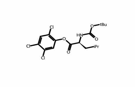 CC(C)C[C@H](NC(=O)OC(C)(C)C)C(=O)Oc1cc(Cl)c(Cl)cc1Cl